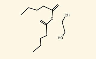 C=C(CCCC)OC(=C)CCCC.OCCO